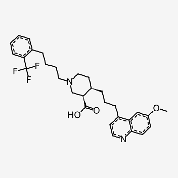 COc1ccc2nccc(CCC[C@@H]3CCN(CCCCc4ccccc4C(F)(F)F)C[C@@H]3C(=O)O)c2c1